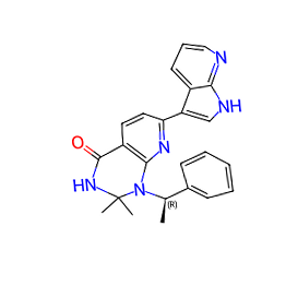 C[C@H](c1ccccc1)N1c2nc(-c3c[nH]c4ncccc34)ccc2C(=O)NC1(C)C